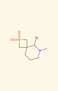 CCC1N(C)CCCC12CS(=O)(=O)C2